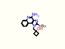 CCCCc1nc2c(N)nc3ccccc3c2n1CC1(O)CCC1